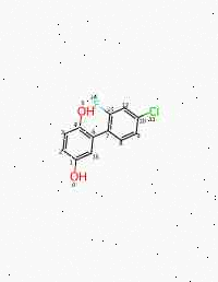 Oc1ccc(O)c(-c2ccc(Cl)cc2F)c1